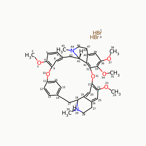 Br.Br.COc1ccc2cc1Oc1ccc(cc1)C[C@H]1c3cc(c(OC)cc3CCN1C)Oc1c(OC)c(OC)cc3c1[C@H](C2)N(C)CC3